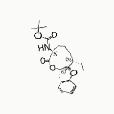 CC[C@H]1CCC[C@H](NC(=O)OC(C)(C)C)C(=O)O[C@@H](C)[C@@H]1Oc1ccccc1